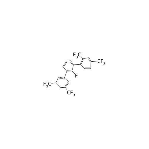 Fc1c(C2=CC(C(F)(F)F)CC(C(F)(F)F)=C2)cccc1-c1ccc(C(F)(F)F)cc1C(F)(F)F